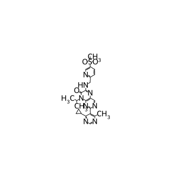 Cc1ncnc(C2CC2)c1-c1ncc2nc(NCc3ccc(S(C)(=O)=O)cn3)c(=O)n(C(C)C)c2n1